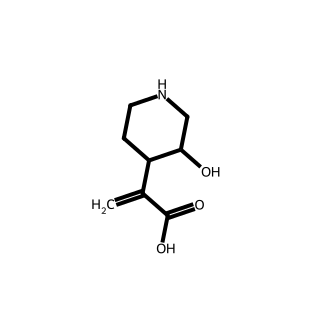 C=C(C(=O)O)C1CCNCC1O